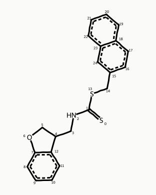 S=C(NCC1COc2ccccc21)SCc1ccc2ccccc2c1